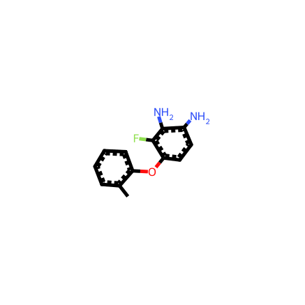 Cc1ccccc1Oc1ccc(N)c(N)c1F